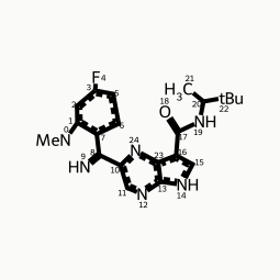 CNc1cc(F)ccc1C(=N)c1cnc2[nH]cc(C(=O)NC(C)C(C)(C)C)c2n1